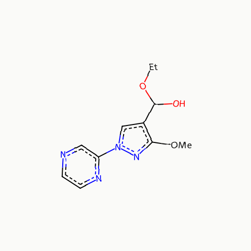 CCOC(O)c1cn(-c2cnccn2)nc1OC